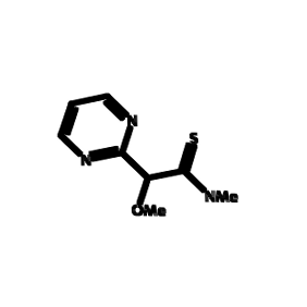 CNC(=S)C(OC)c1ncccn1